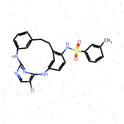 Cc1cccc(S(=O)(=O)Nc2ccc3cc2CCc2cccc(c2)Nc2ncc(Cl)c(n2)N3)c1